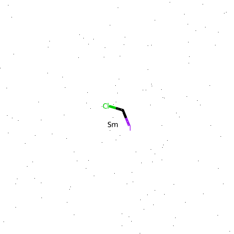 ClCI.[Sm]